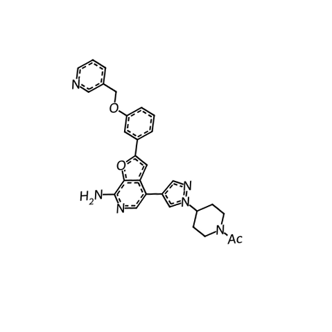 CC(=O)N1CCC(n2cc(-c3cnc(N)c4oc(-c5cccc(OCc6cccnc6)c5)cc34)cn2)CC1